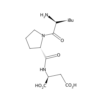 CC[C@H](C)[C@H](N)C(=O)N1CCC[C@H]1C(=O)N[C@@H](CC(=O)O)C(=O)O